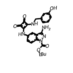 CC(C)(C)OC(=O)n1nc(N)c2cc(Nc3c(NCc4cccc(O)c4)c(=O)c3=O)ccc21